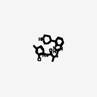 Cc1ccc(NC(=O)C(C)Sc2nc3cccc(C4CCNCC4)c3[nH]2)c(Cl)c1